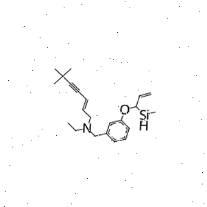 C=CC(Oc1cccc(CN(CC)CC=CC#CC(C)(C)C)c1)[SiH](C)C